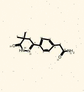 CC1(C)CC(c2ccc(CC(N)=O)cc2)=NNC1=O